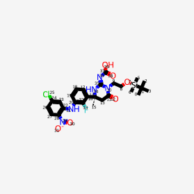 CC(C)(C)[Si](C)(C)OCCN1C(=O)C[C@@](C)(c2cccc(Nc3cc(Cl)ccc3[N+](=O)[O-])c2F)N/C1=N/C(=O)O